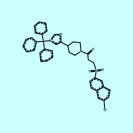 O=C(CCS(=O)(=O)c1ccc2cc(Cl)ccc2c1)N1CCC(c2cn(C(c3ccccc3)(c3ccccc3)c3ccccc3)cn2)CC1